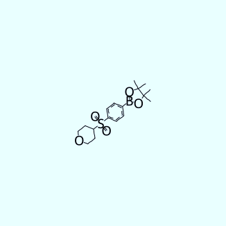 CC1(C)OB(c2ccc(S(=O)(=O)C3CCOCC3)cc2)OC1(C)C